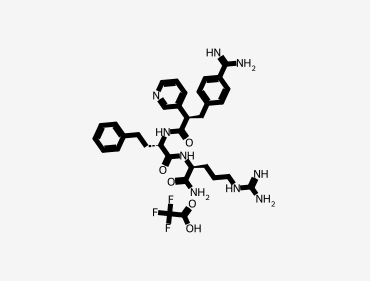 N=C(N)NCCC[C@H](NC(=O)[C@H](CCc1ccccc1)NC(=O)[C@H](Cc1ccc(C(=N)N)cc1)c1cccnc1)C(N)=O.O=C(O)C(F)(F)F